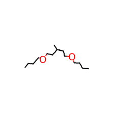 CCCCOCC[C](C)CCOCCCC